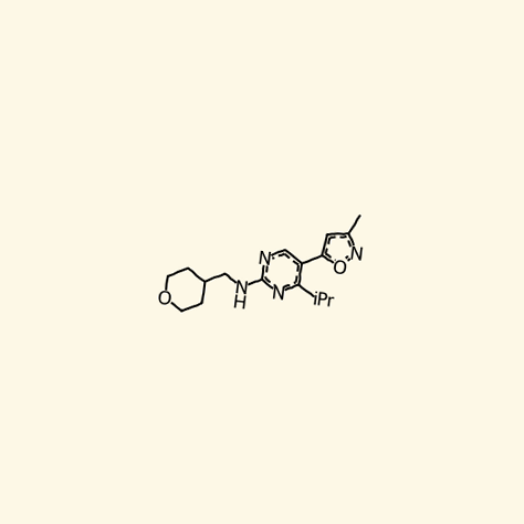 Cc1cc(-c2cnc(NCC3CCOCC3)nc2C(C)C)on1